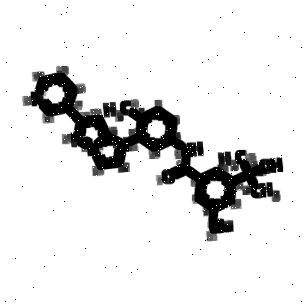 Cc1ccc(NC(=O)c2cc(C(C)(C)C)cc(C(C)(C)O)c2)cc1-n1ccn2nc(-c3cccnc3)cc12